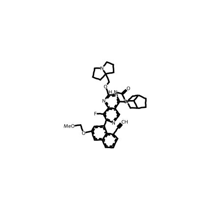 C#Cc1cccc2cc(OCOC)cc(-c3ncc4c(N5CC6CCC(C5)C6OC(N)=O)nc(OCC56CCCN5CCC6)nc4c3F)c12